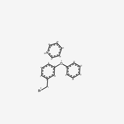 BrCc1cccc(Oc2ccccc2)c1.c1ccncc1